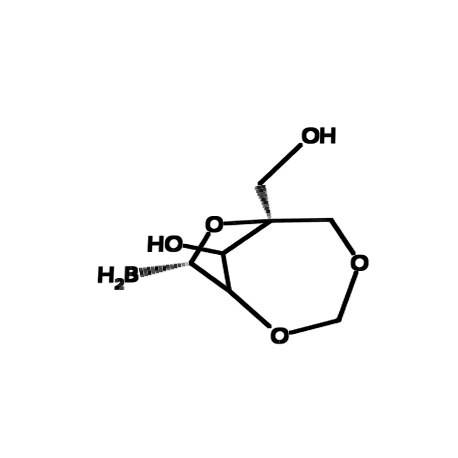 B[C@@H]1O[C@@]2(CO)COCOC1C2O